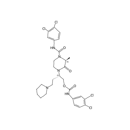 C[C@H]1C(=O)N([C@@H](CCN2CCCCC2)COC(=O)Nc2ccc(Cl)c(Cl)c2)CCN1C(=O)Nc1ccc(Cl)c(Cl)c1